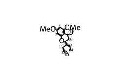 COc1cc(OC)c2c(c1)OC(c1ccncc1)CC2=O